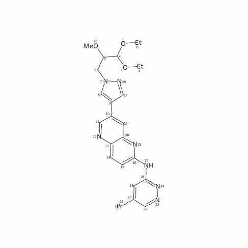 CCOC(OCC)C(Cn1cc(-c2cnc3ccc(Nc4cc(C(C)C)cnn4)nc3c2)cn1)OC